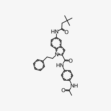 CC(=O)Nc1ccc(NC(=O)c2cc3cc(NC(=O)CC(C)(C)C)ccc3n2CCc2ccccc2)cc1